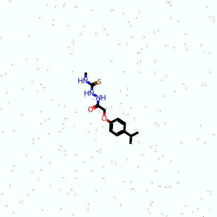 CNC(=S)NNC(=O)COc1ccc(C(C)C)cc1